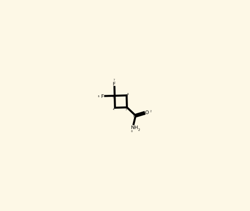 NC(=O)C1CC(F)(F)C1